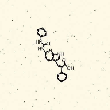 O=C(Nc1ccccc1)Nc1ccc2c(C=C(C(=O)O)c3ccccc3)c[nH]c2n1